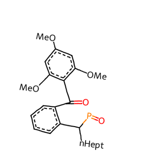 CCCCCCCC(P=O)c1ccccc1C(=O)c1c(OC)cc(OC)cc1OC